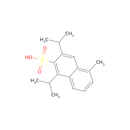 Cc1cccc2c(C(C)C)c(S(=O)(=O)O)c(C(C)C)cc12